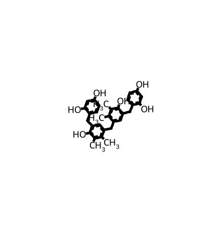 Cc1c(Cc2cc(Cc3ccc(O)cc3O)c(O)c(C)c2C)cc(Cc2ccc(O)cc2O)c(O)c1C